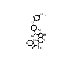 Cc1ccc(Oc2ccc(C(O)c3c[nH]c4ncc5c(c34)NC3(CCOCC3)C(=O)N5C)c(Cl)c2)nc1